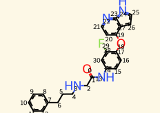 O=C(CNCCCc1ccccc1)Nc1ccc(Oc2ccnc3[nH]ccc23)c(F)c1